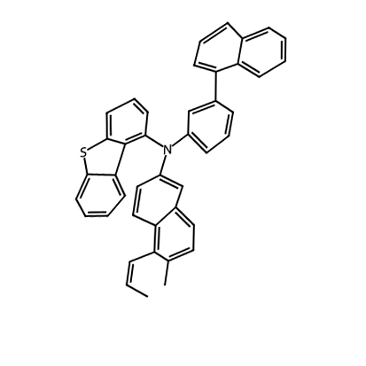 C/C=C\c1c(C)ccc2cc(N(c3cccc(-c4cccc5ccccc45)c3)c3cccc4sc5ccccc5c34)ccc12